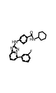 O=C(NC1CCCCC1)c1ccc(Nc2nc3cccc(-c4cccc(F)c4)n3n2)cc1